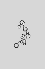 O=C(N[C@H]1CCCN(c2ccc(-n3ccccc3=O)cc2)C1=O)OCc1ccccc1